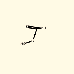 S=C(S)OS